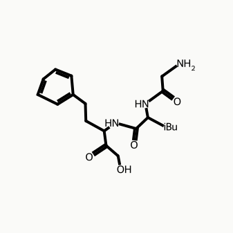 CCC(C)C(NC(=O)CN)C(=O)NC(CCc1ccccc1)C(=O)CO